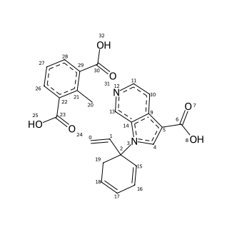 C=CC1(n2cc(C(=O)O)c3ccncc32)C=CC=CC1.Cc1c(C(=O)O)cccc1C(=O)O